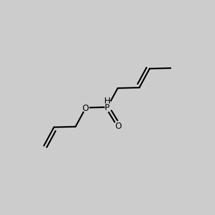 C=CCO[PH](=O)CC=CC